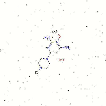 CCN1CCN(c2cc(N)[n+](OS(=O)(=O)O)c(N)n2)CC1.[OH-]